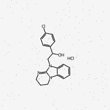 Cl.OC(CN1C2=NCCCN2c2ccccc21)c1ccc(Cl)cc1